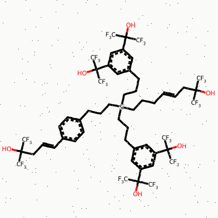 OC(C/C=C/CCC[Si](CCCc1ccc(/C=C/CC(O)(C(F)(F)F)C(F)(F)F)cc1)(CCCc1cc(C(O)(C(F)(F)F)C(F)(F)F)cc(C(O)(C(F)(F)F)C(F)(F)F)c1)CCCc1cc(C(O)(C(F)(F)F)C(F)(F)F)cc(C(O)(C(F)(F)F)C(F)(F)F)c1)(C(F)(F)F)C(F)(F)F